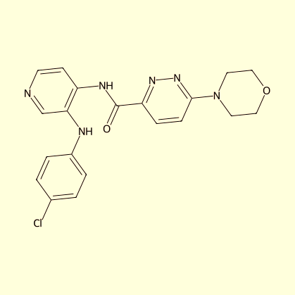 O=C(Nc1ccncc1Nc1ccc(Cl)cc1)c1ccc(N2CCOCC2)nn1